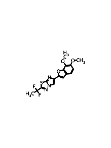 COc1ccc2cc(-c3cn4nc(C(C)(F)F)sc4n3)oc2c1OC